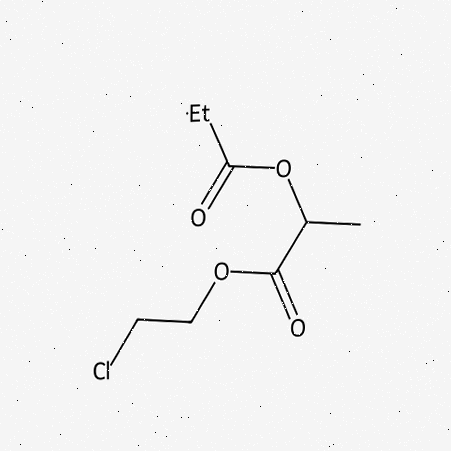 C[CH]C(=O)OC(C)C(=O)OCCCl